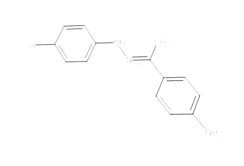 C/C(=N\Nc1ccc(Cl)cc1)c1ccc(N)cc1